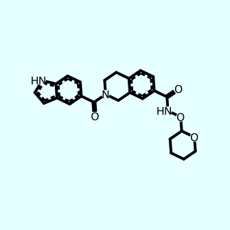 O=C(NOC1CCCCO1)c1ccc2c(c1)CN(C(=O)c1ccc3[nH]ccc3c1)CC2